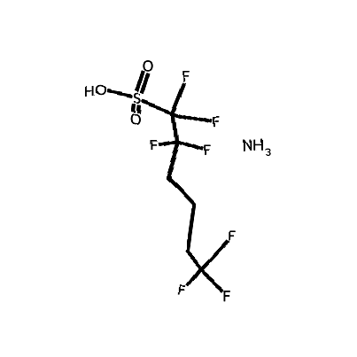 N.O=S(=O)(O)C(F)(F)C(F)(F)CCCC(F)(F)F